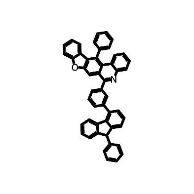 c1ccc(-c2c3c(cc4c(-c5cccc(-c6cccc7c6-c6ccccc6C7c6ccccc6)c5)nc5ccccc5c24)oc2ccccc23)cc1